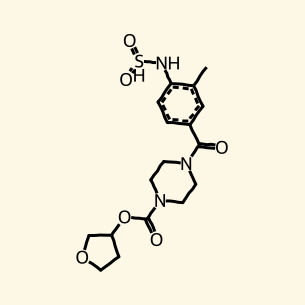 Cc1cc(C(=O)N2CCN(C(=O)OC3CCOC3)CC2)ccc1N[SH](=O)=O